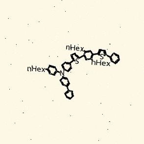 CCCCCCc1ccc(N(c2ccc(-c3ccccc3)cc2)c2ccc(-c3ccc(-c4cc(CCCCCC)c(-c5ccc(-c6ccccc6)s5)cc4CCCCCC)s3)cc2)cc1